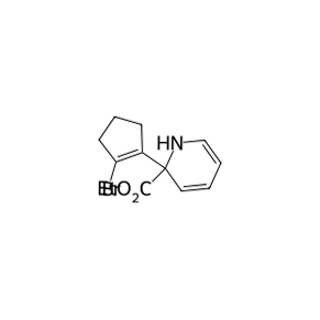 CCOC(=O)C1(C2=C(Br)CCC2)C=CC=CN1